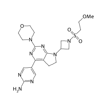 COCCS(=O)(=O)N1CC(N2CCc3c(-c4cnc(N)nc4)nc(N4CCOCC4)nc32)C1